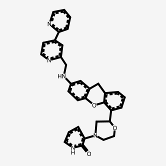 O=c1[nH]cccc1N1CCOC(c2cccc3c2Oc2ccc(NCc4cc(-c5ccccn5)ccn4)cc2C3)C1